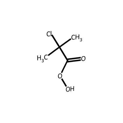 CC(C)(Cl)C(=O)OO